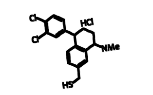 CNC1CCC(c2ccc(Cl)c(Cl)c2)c2ccc(CS)cc21.Cl